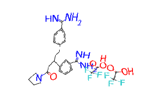 N=C(N)c1ccc(CCC(CC(=O)N2CCCC2)c2cccc(C(=N)N)c2)cc1.O=C(O)C(F)(F)F.O=C(O)C(F)(F)F